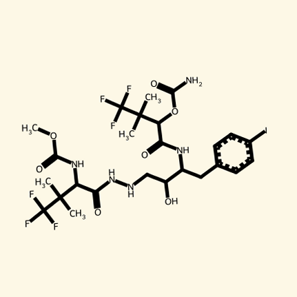 COC(=O)NC(C(=O)NNCC(O)C(Cc1ccc(I)cc1)NC(=O)C(OC(N)=O)C(C)(C)C(F)(F)F)C(C)(C)C(F)(F)F